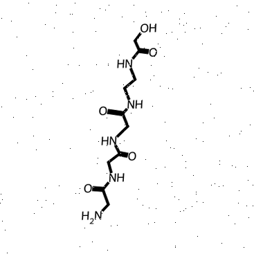 NCC(=O)NCC(=O)NCC(=O)NCCNC(=O)CO